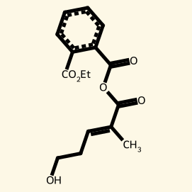 CCOC(=O)c1ccccc1C(=O)OC(=O)C(C)=CCCO